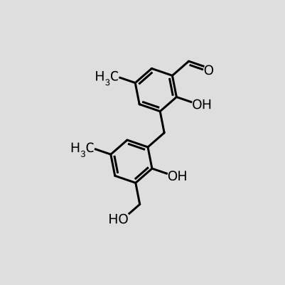 Cc1cc(C=O)c(O)c(Cc2cc(C)cc(CO)c2O)c1